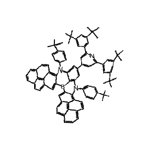 CC(C)(C)c1ccc(N2c3cc(-c4cc(-c5cc(C(C)(C)C)cc(C(C)(C)C)c5)nc(-c5cc(C(C)(C)C)cc(C(C)(C)C)c5)c4)cc4c3B(c3cc5ccc6cccc7ccc(c32)c5c67)c2cc3ccc5cccc6ccc(c2N4c2ccc(C(C)(C)C)cc2)c3c56)cc1